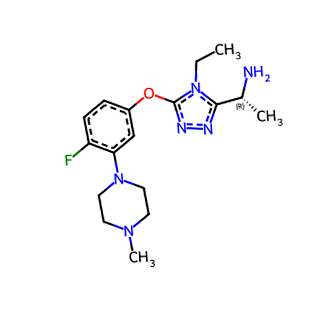 CCn1c(Oc2ccc(F)c(N3CCN(C)CC3)c2)nnc1[C@@H](C)N